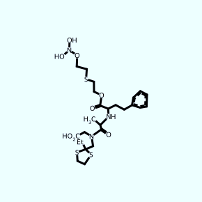 CCC1(CN(CC(=O)O)C(=O)C(C)NC(CCc2ccccc2)C(=O)OCCSCCON(O)O)SCCS1